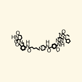 CC[C@@H]1C(=O)N(C)c2cnc(Nc3ccc(C(=O)NC4CCN(CCCCC(=O)Nc5cccc6c5CN(C5CCC(=O)NC5=O)C6=O)CC4)cc3OC)nc2N1C1CCCC1